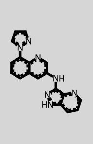 c1cc(-n2cccn2)c2ncc(Nc3n[nH]c4cccnc34)cc2c1